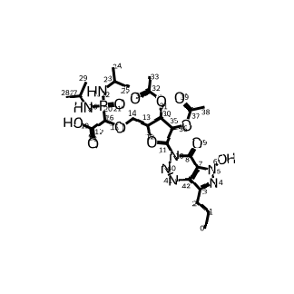 CCCc1nn(O)c2c(=O)n(C3OC(COC(C(=O)O)P(=O)(NC(C)C)NC(C)C)C(OC(C)=O)C3OC(C)=O)nnc12